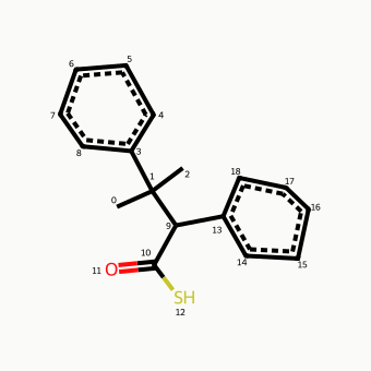 CC(C)(c1ccccc1)C(C(=O)S)c1ccccc1